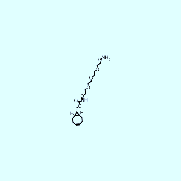 NOCCOCCOCCOCCONC(=O)OC[C@H]1[C@@H]2CCC#CCC[C@@H]21